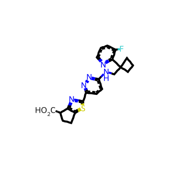 O=C(O)C1CCc2sc(-c3ccc(NCC4(c5ncccc5F)CCC4)nn3)nc21